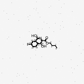 CCCCOC(=O)c1nc(O)c2cc(F)ccc2c1O